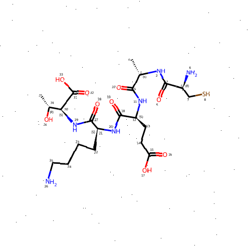 C[C@H](NC(=O)[C@@H](N)CS)C(=O)N[C@@H](CCC(=O)O)C(=O)N[C@@H](CCCCN)C(=O)N[C@H](C(=O)O)[C@@H](C)O